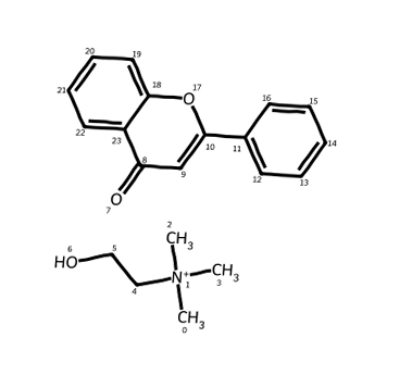 C[N+](C)(C)CCO.O=c1cc(-c2ccccc2)oc2ccccc12